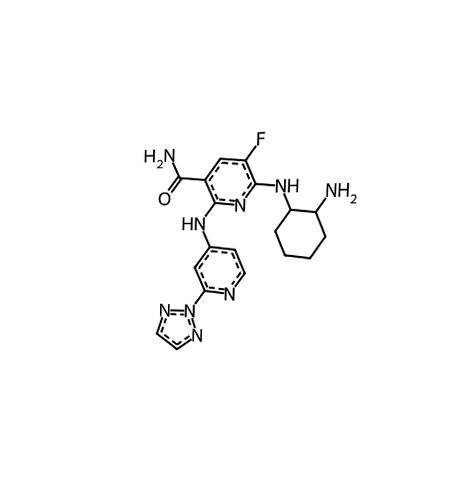 NC(=O)c1cc(F)c(NC2CCCCC2N)nc1Nc1ccnc(-n2nccn2)c1